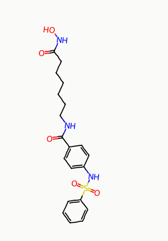 O=C(CCCCCCNC(=O)c1ccc(NS(=O)(=O)c2ccccc2)cc1)NO